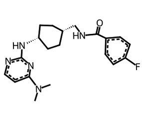 CN(C)c1ccnc(N[C@H]2CC[C@@H](CNC(=O)c3ccc(F)cc3)CC2)n1